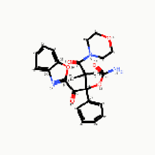 CC(C)(C(=O)N1CCOCC1)C(OC(N)=O)(C(=O)c1nc2ccccc2o1)c1ccccc1